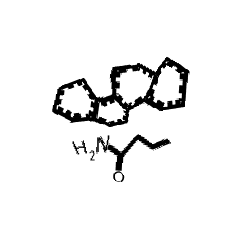 CCCC(N)=O.c1ccc2c(c1)ccc1c3ccccc3ccc21